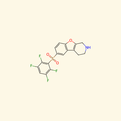 O=S(=O)(c1ccc2oc3c(c2c1)CCNC3)c1c(F)c(F)cc(F)c1F